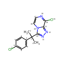 CC(C)(c1ccc(Cl)cc1)c1nnc2c(Cl)nccn12